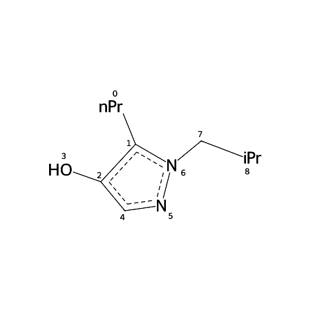 CCCc1c(O)cnn1CC(C)C